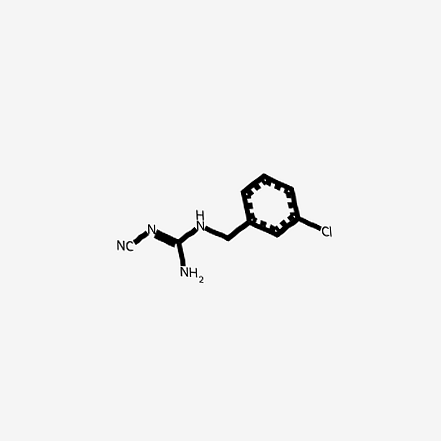 N#C/N=C(\N)NCc1cccc(Cl)c1